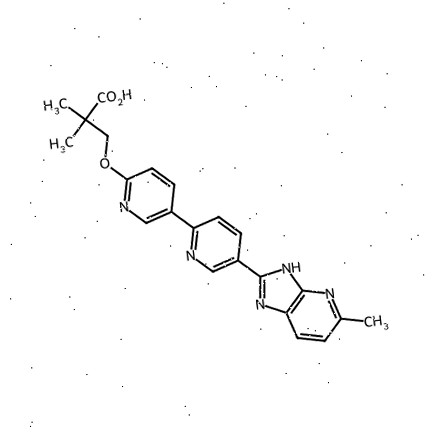 Cc1ccc2nc(-c3ccc(-c4ccc(OCC(C)(C)C(=O)O)nc4)nc3)[nH]c2n1